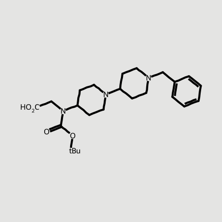 CC(C)(C)OC(=O)N(CC(=O)O)C1CCN(C2CCN(Cc3ccccc3)CC2)CC1